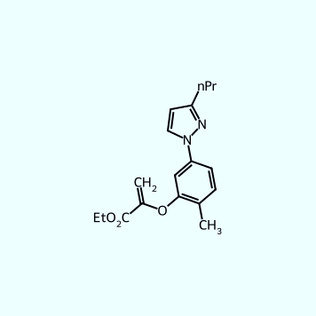 C=C(Oc1cc(-n2ccc(CCC)n2)ccc1C)C(=O)OCC